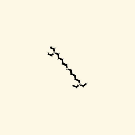 CCN(CC)CCCC=COC=CCCCN(CC)CC